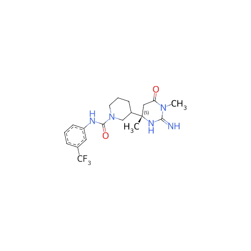 CN1C(=N)N[C@](C)(C2CCCN(C(=O)Nc3cccc(C(F)(F)F)c3)C2)CC1=O